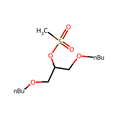 CCCCOCC(COCCCC)OS(C)(=O)=O